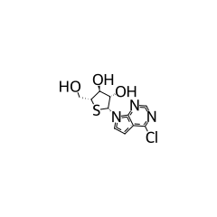 OC[C@H]1S[C@@H](n2ccc3c(Cl)ncnc32)[C@@H](O)[C@@H]1O